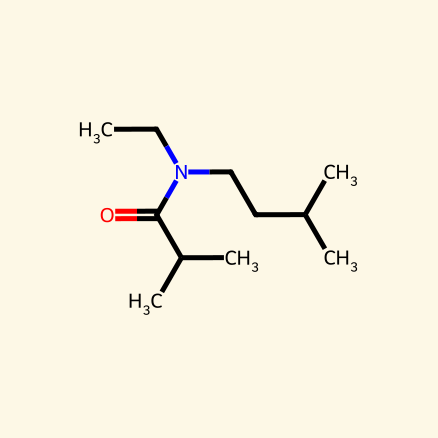 CCN(CCC(C)C)C(=O)C(C)C